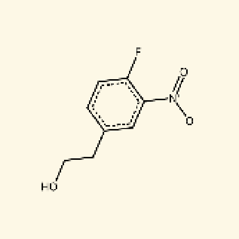 O=[N+]([O-])c1cc(CCO)ccc1F